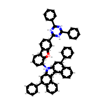 c1ccc(-c2nc(-c3ccccc3)nc(-c3ccc4c(c3)oc3c(-n5c6cc(-c7ccccc7)c7ccccc7c6c6c7ccccc7c(-c7ccccc7)cc65)cccc34)n2)cc1